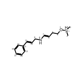 C[SiH](C)OCCC=CNCC=Cc1ccccc1